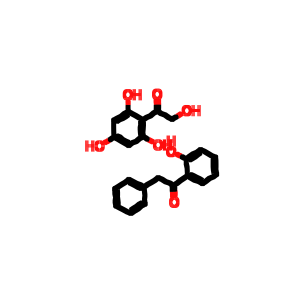 O=C(CO)c1c(O)cc(O)cc1O.O=C(Cc1ccccc1)c1ccccc1O